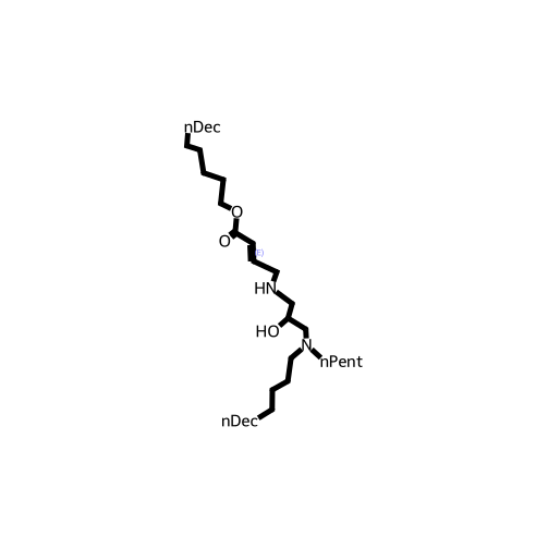 CCCCCCCCCCCCCCCOC(=O)/C=C/CNCC(O)CN(CCCCC)CCCCCCCCCCCCCC